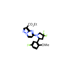 CCOC(=O)c1cnn2ccc(N3CC(F)(F)CC3c3cc(F)ccc3OC)nc12